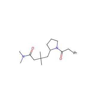 CC(C)CC(=O)N1CCCC1CC(C)(C)CC(=O)N(C)C